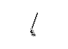 CCCCCCCCCCCCCCOc1ccc(OS(C)(=O)=O)o1